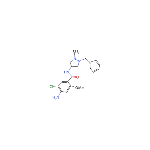 COc1cc(N)c(Cl)cc1C(=O)NC1CN(C)N(Cc2ccccc2)C1